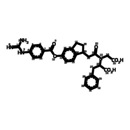 N=C(N)Nc1ccc(C(=O)Oc2ccc3c(c2)CCC3CC(=O)N(CC(=O)O)C(Cc2ccccc2)C(=O)O)cc1